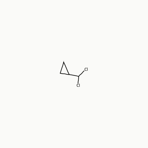 ClC(Cl)C1[CH]C1